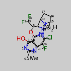 CSc1nc(O)c2c(O[C@H](C(F)F)C3NCC4CCC3N4C(=O)O)nc(Cl)c(F)c2n1